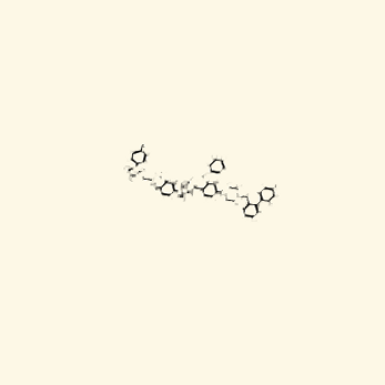 Cc1ccc(S(=O)(=O)OCCNc2ccc(S(=O)(=O)NC(=O)c3ccc(N4CCN(Cc5ccccc5-c5ccc(Cl)cc5)CC4)cc3Oc3ccccc3)cc2[N+](=O)[O-])cc1